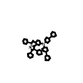 c1ccc(-c2ccc(N(c3ccc(-c4ccccc4)cc3)c3ccc4cc(-c5ccccc5)n5nc(-c6ccccc6)c(-c6ccccc6)c5c4c3)cc2)cc1